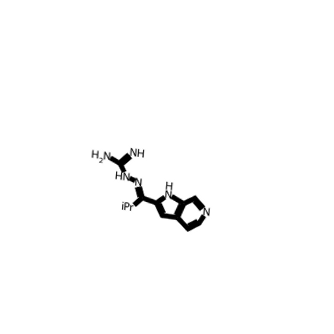 CC(C)/C(=N\NC(=N)N)c1cc2ccncc2[nH]1